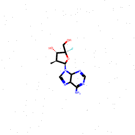 C[C@@H]1[C@H](N2C=NC3C(N)=NC=NC32)O[C@](F)(CO)[C@H]1O